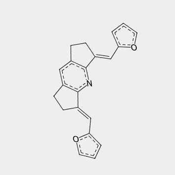 C(=C1CCc2cc3c(nc21)C(=Cc1ccco1)CC3)c1ccco1